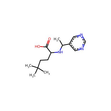 CC(NC(CCC(C)(C)C)C(=O)O)c1cncnc1